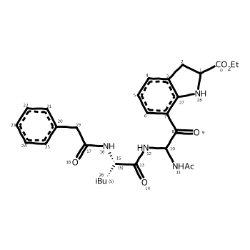 CCOC(=O)C1Cc2cccc(C(=O)C(NC(C)=O)NC(=O)[C@@H](NC(=O)Cc3ccccc3)[C@@H](C)CC)c2N1